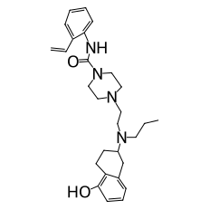 C=Cc1ccccc1NC(=O)N1CCN(CCN(CCC)C2CCc3c(O)cccc3C2)CC1